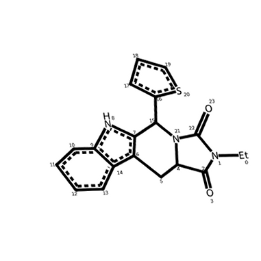 CCN1C(=O)C2Cc3c([nH]c4ccccc34)C(c3cccs3)N2C1=O